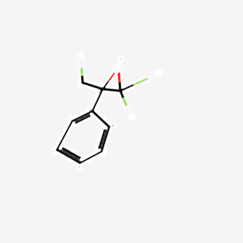 FCC1(c2ccccc2)OC1(F)F